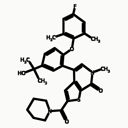 Cc1cc(F)cc(C)c1Oc1ccc(C(C)(C)O)cc1-c1cn(C)c(=O)c2sc(C(=O)N3CCCCC3)cc12